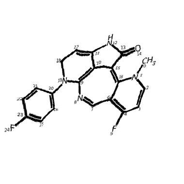 CN1C=CC(F)=c2cnc3c4c([nH]c(=O)c-4c21)=CCN3c1ccc(F)cc1